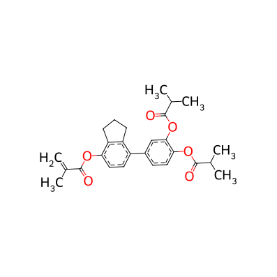 C=C(C)C(=O)Oc1ccc(-c2ccc(OC(=O)C(C)C)c(OC(=O)C(C)C)c2)c2c1CCC2